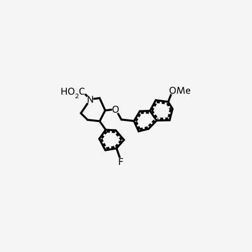 COc1ccc2ccc(COC3CN(C(=O)O)CCC3c3ccc(F)cc3)cc2c1